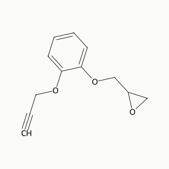 C#CCOc1ccccc1OCC1CO1